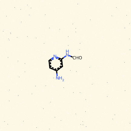 Nc1ccnc(NC=O)c1